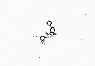 O=C(Nc1cccc(C(F)(F)F)n1)c1n[nH]c2ccc(-c3cccnc3)cc12